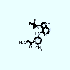 C=CC(=O)N1C[C@H](Nc2ncnc3[nH]cc([C@H]4CC4(F)F)c23)CC[C@@H]1C